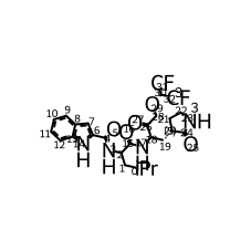 CC(C)CC(NC(=O)c1cc2ccccc2[nH]1)C(=O)NC(C[C@@H]1CCNC1=O)C(=O)COC(C(F)(F)F)C(F)(F)F